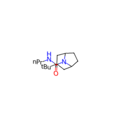 CCCNC(=O)N1C2CCC1CC(C(C)(C)C)C2